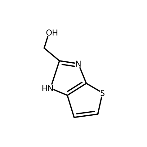 OCc1nc2sccc2[nH]1